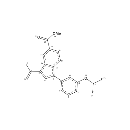 C=C(C)c1cn(-c2cccc(OC(F)F)c2)c2ccc(C(=O)OC)cc12